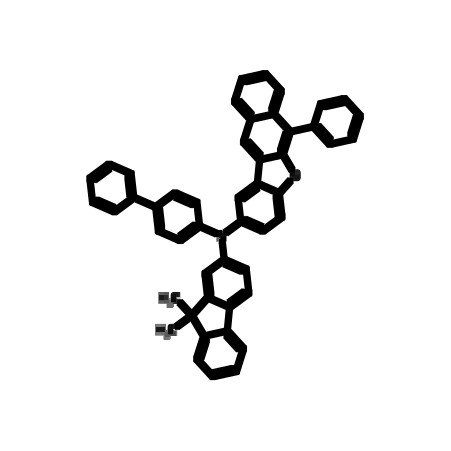 CC1(C)c2ccccc2-c2ccc(N(c3ccc(-c4ccccc4)cc3)c3ccc4oc5c(-c6ccccc6)c6ccccc6cc5c4c3)cc21